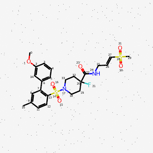 COc1cccc(-c2cc(C)ccc2S(=O)(=O)N2CCC(F)(C(=O)NC/C=C/S(C)(=O)=O)CC2)c1